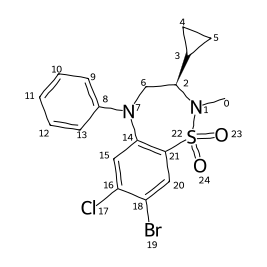 CN1[C@H](C2CC2)CN(c2ccccc2)c2cc(Cl)c(Br)cc2S1(=O)=O